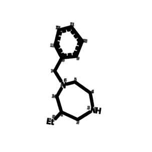 CCC1CNCCN(Cc2ccccc2)C1